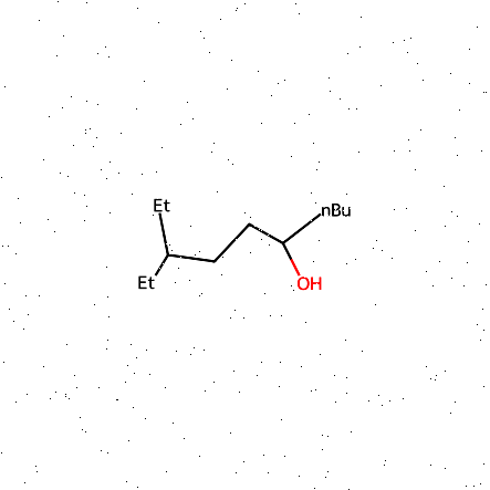 CCCCC(O)CCC(CC)CC